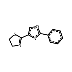 c1ccc(-c2nc(C3=NCCS3)co2)cc1